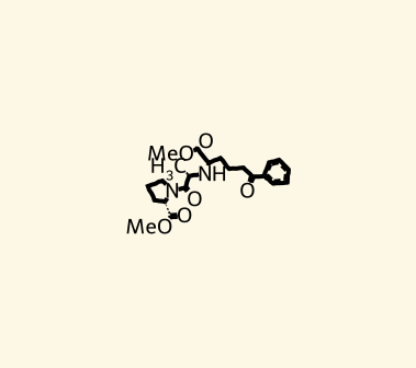 COC(=O)C(CCCC(=O)c1ccccc1)N[C@@H](C)C(=O)N1CCC[C@H]1C(=O)OC